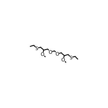 CCSCC(COCOCC(CSCC)OC)OC